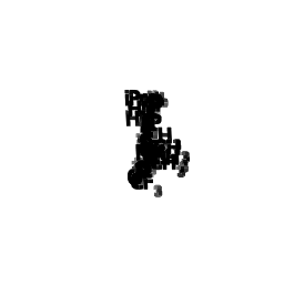 CC(/C=N/NC(=S)Nc1ccccc1C(C)C)=C\c1cnc(N(C)c2ccc(OC(F)(F)F)cc2)c(N(C)C)c1